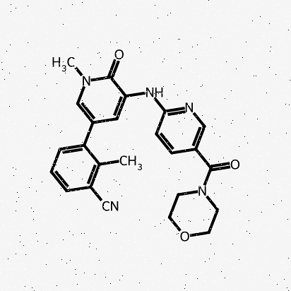 Cc1c(C#N)cccc1-c1cc(Nc2ccc(C(=O)N3CCOCC3)cn2)c(=O)n(C)c1